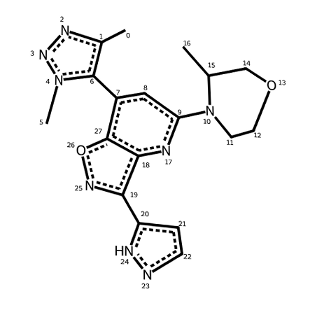 Cc1nnn(C)c1-c1cc(N2CCOCC2C)nc2c(-c3ccn[nH]3)noc12